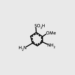 COc1c(N)cc(N)cc1S(=O)(=O)O